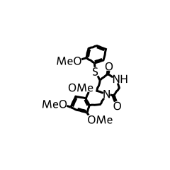 COc1cc(OC)c(CN2CC(Sc3ccccc3OC)C(=O)NCC2=O)c(OC)c1